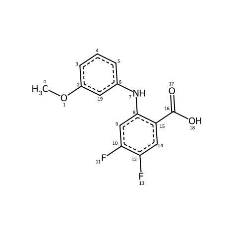 COc1cccc(Nc2cc(F)c(F)cc2C(=O)O)c1